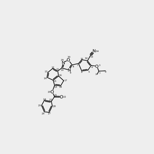 CC(C)Oc1ccc(-c2nc(-c3cccc4c3CC=C4OC(=O)c3ccccc3)no2)cc1C#N